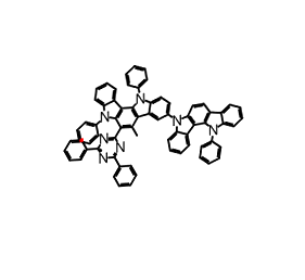 Cc1c(-c2nc(-c3ccccc3)nc(-c3ccccc3)n2)c2c(c3ccccc3n2-c2ccccc2)c2c1c1cc(-n3c4ccccc4c4c3ccc3c5ccccc5n(-c5ccccc5)c34)ccc1n2-c1ccccc1